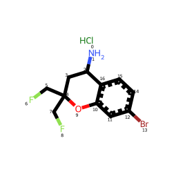 Cl.NC1CC(CF)(CF)Oc2cc(Br)ccc21